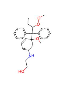 CCC(OOC)C(c1ccccc1)(c1ccccc1)C1(OC)C=CC=C(NCCO)C1